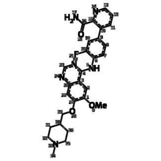 COc1cc2c(Nc3ccc(-c4cccnc4C(N)=O)cc3F)ncnc2cc1OCC1CCN(C)CC1